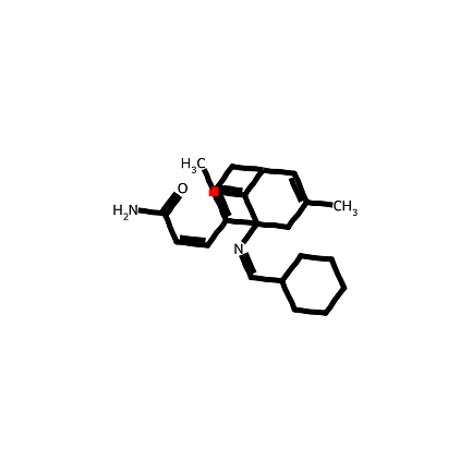 C/C=C1\C2C=C(C)CC1(/N=C\C1CCCCC1)C(/C=C\C(N)=O)=CC2